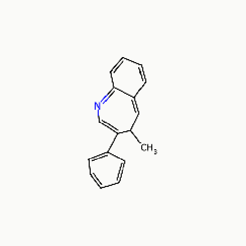 CC1C=c2ccccc2=NC=C1c1ccccc1